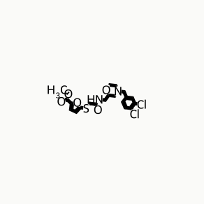 COC(=O)c1ccc(SCC(=O)NCC2CN(Cc3ccc(Cl)c(Cl)c3)CCO2)o1